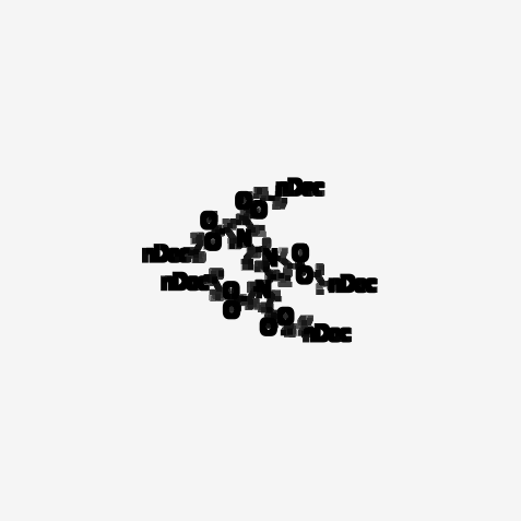 CCCCCCCCCCCCOC(=O)CCN(CC(C)N(CCC(=O)OCCCCCCCCCCCC)CCC(=O)OCCCCCCCCCCCC)CC(C)N(CCC(=O)OCCCCCCCCCCCC)CCC(=O)OCCCCCCCCCCCC